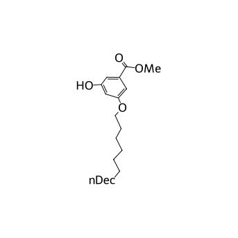 CCCCCCCCCCCCCCCCOc1cc(O)cc(C(=O)OC)c1